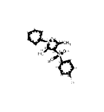 Cc1nn(-c2ccccc2)c(O)c1S(=O)(=O)c1ccc(F)cc1